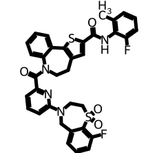 Cc1cccc(F)c1NC(=O)c1cc2c(s1)-c1ccccc1N(C(=O)c1cccc(N3CCS(=O)(=O)c4c(F)cccc4C3)n1)CC2